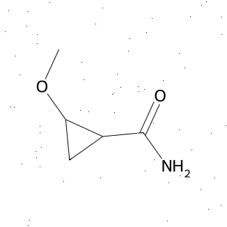 COC1CC1C(N)=O